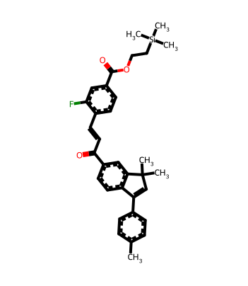 Cc1ccc(C2=CC(C)(C)c3cc(C(=O)/C=C/c4ccc(C(=O)OCC[Si](C)(C)C)cc4F)ccc32)cc1